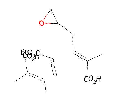 C=CC(=O)OCC.CC(=CCC1CO1)C(=O)O.CC=C(C)C(=O)O